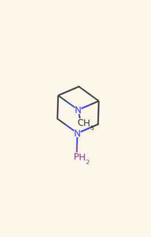 CN1C2CC1CN(P)C2